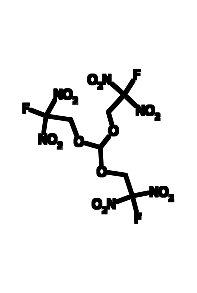 O=[N+]([O-])C(F)(COC(OCC(F)([N+](=O)[O-])[N+](=O)[O-])OCC(F)([N+](=O)[O-])[N+](=O)[O-])[N+](=O)[O-]